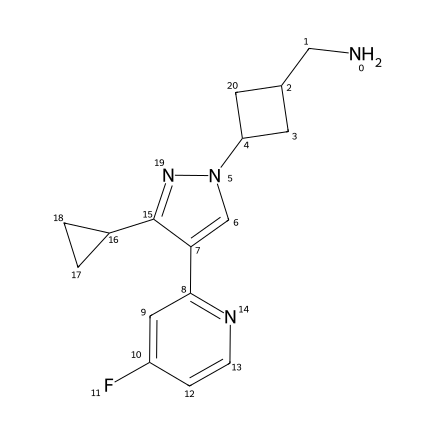 NCC1CC(n2cc(-c3cc(F)ccn3)c(C3CC3)n2)C1